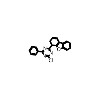 Clc1nc(-c2ccccc2)nc(C2CC=Cc3c2oc2ccccc32)n1